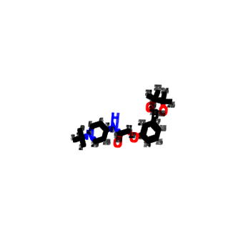 CC(C)(C)N1CCC(NC(=O)COc2cccc(B3OC(C)(C)C(C)(C)O3)c2)CC1